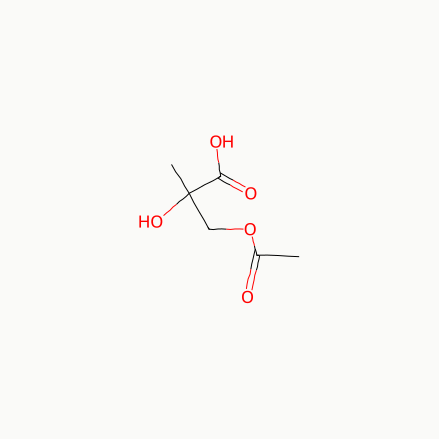 CC(=O)OCC(C)(O)C(=O)O